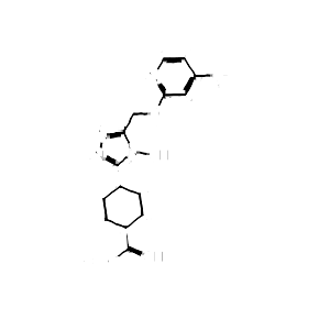 C=C(C=O)[C@H]1CC[C@H](c2nnc(COc3cc(C(F)(F)F)ccn3)n2C)CC1